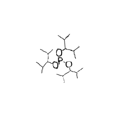 CC(C)C(OP(OC(C(C)C)C(C)C)OC(C(C)C)C(C)C)C(C)C